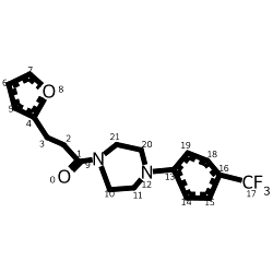 O=C(CCc1ccco1)N1CCN(c2ccc(C(F)(F)F)cc2)CC1